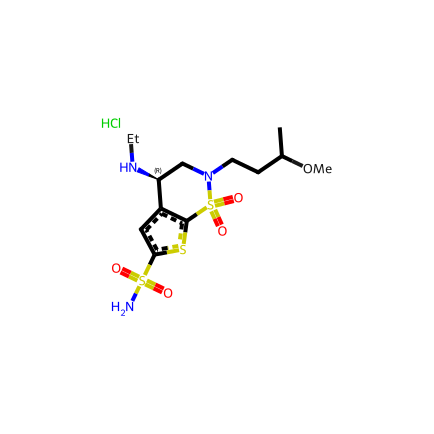 CCN[C@H]1CN(CCC(C)OC)S(=O)(=O)c2sc(S(N)(=O)=O)cc21.Cl